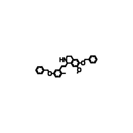 COc1cc2c(cc1OCc1ccccc1)CCNC2C=Cc1cc(OCc2ccccc2)ccc1C